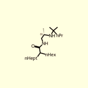 CCCCCCCC(CCCCCC)C(=O)NC[C@H](C)NC(C)(C)CCC